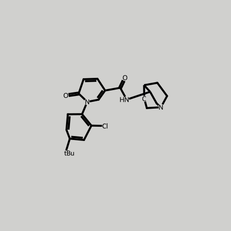 CC(C)(C)c1ccc(-n2cc(C(=O)NC3CN4CCC3CC4)ccc2=O)c(Cl)c1